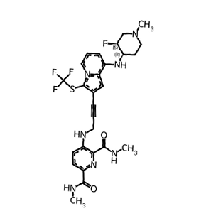 CNC(=O)c1ccc(NCC#Cc2cc3c(N[C@@H]4CCN(C)C[C@@H]4F)cccn3c2SC(F)(F)F)c(C(=O)NC)n1